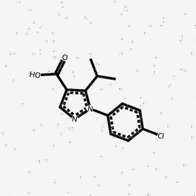 CC(C)c1c(C(=O)O)cnn1-c1ccc(Cl)cc1